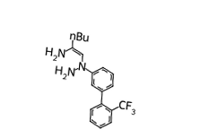 CCCC/C(N)=C/N(N)c1cccc(-c2ccccc2C(F)(F)F)c1